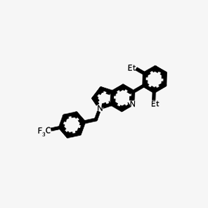 CCc1cccc(CC)c1-c1cc2ccn(Cc3ccc(C(F)(F)F)cc3)c2cn1